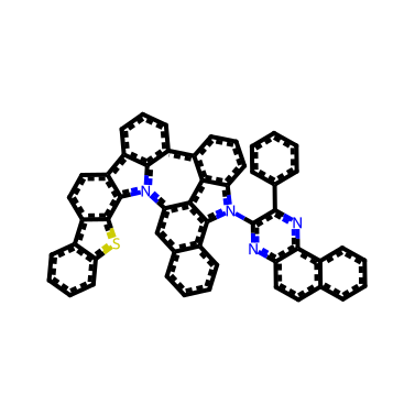 c1ccc(-c2nc3c(ccc4ccccc43)nc2-n2c3cccc4c5cccc6c7ccc8c9ccccc9sc8c7n(c7cc8ccccc8c2c7c43)c56)cc1